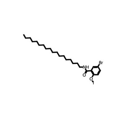 CCCCCCCCCCCCCCCCCCNC(=O)c1cc(Br)ccc1OI